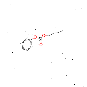 CCCCO[Si](=O)Oc1ccccc1